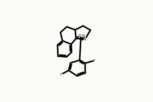 Fc1ccc(F)c(C2=NN3CCC4CCc5ccccc5C43O2)c1